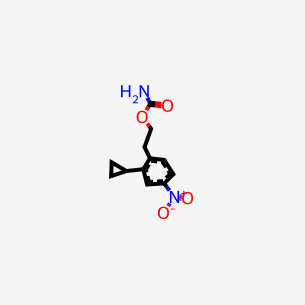 NC(=O)OCCc1ccc([N+](=O)[O-])cc1C1CC1